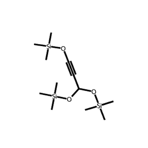 C[Si](C)(C)OC#CC(O[Si](C)(C)C)O[Si](C)(C)C